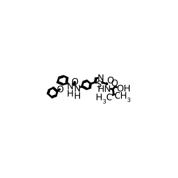 CC(C)C(NC(=O)c1ncc(-c2ccc(NC(=O)Nc3ccccc3Oc3ccccc3)cc2)s1)C(=O)O